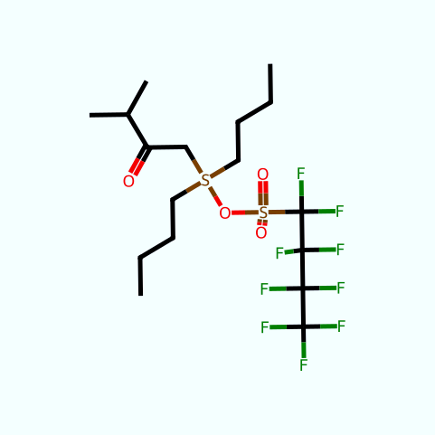 CCCCS(CCCC)(CC(=O)C(C)C)OS(=O)(=O)C(F)(F)C(F)(F)C(F)(F)C(F)(F)F